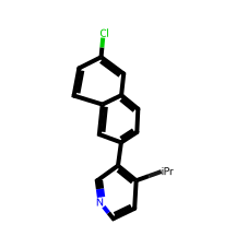 CC(C)c1ccncc1-c1ccc2cc(Cl)ccc2c1